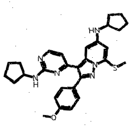 COc1ccc(-c2nn3c(SC)cc(NC4CCCC4)cc3c2-c2ccnc(NC3CCCC3)n2)cc1